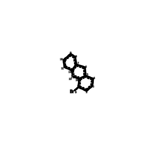 Brc1cccc2cc3ccccc3nc12